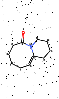 O=C1CCCCC=C2CCCCN12